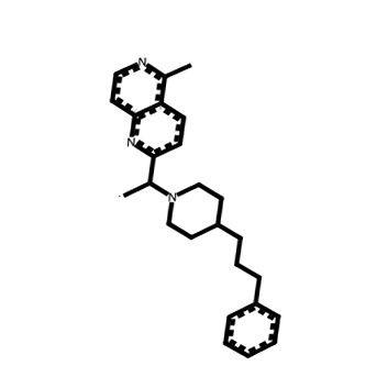 [CH2]C(c1ccc2c(C)nccc2n1)N1CCC(CCCc2ccccc2)CC1